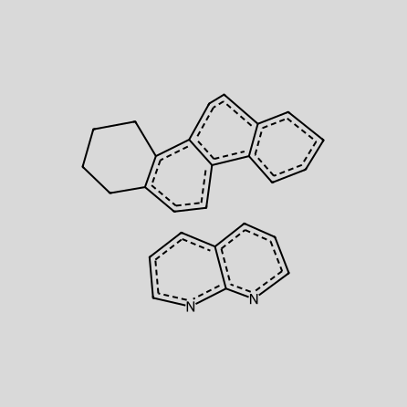 c1ccc2c(c1)ccc1c3c(ccc12)CCCC3.c1cnc2ncccc2c1